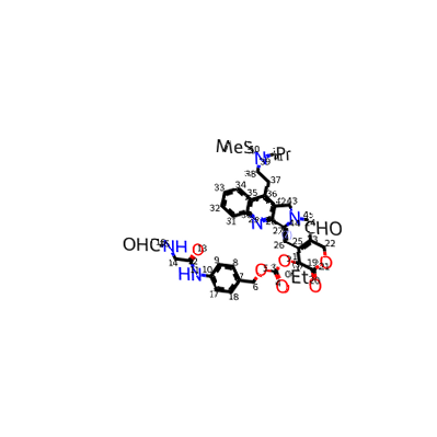 CC[C@@]1(OC(=O)OCc2ccc(NC(=O)CNC=O)cc2)C(=O)OCC(C=O)=C1/C=C1/c2nc3ccccc3c(CCN(SC)C(C)C)c2CN1C